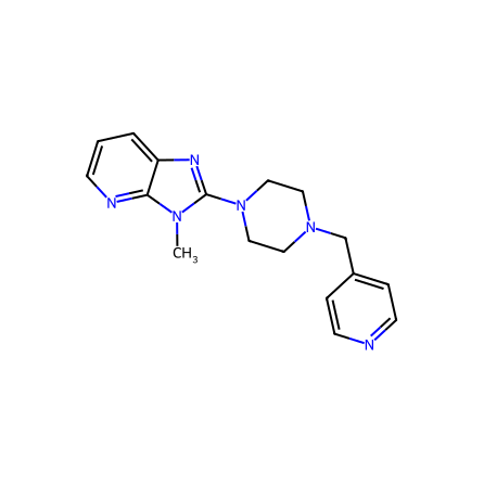 Cn1c(N2CCN(Cc3ccncc3)CC2)nc2cccnc21